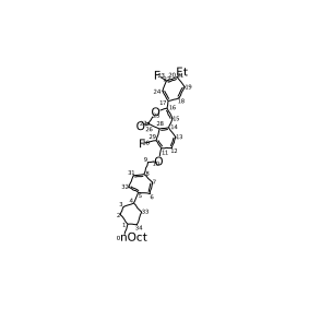 CCCCCCCCC1CCC(c2ccc(COc3ccc4cc(-c5ccc(CC)c(F)c5)oc(=O)c4c3F)cc2)CC1